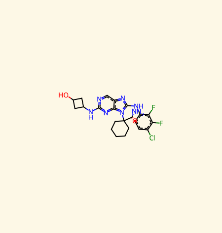 NC(=O)C1(n2c(Nc3ccc(Cl)c(F)c3F)nc3cnc(NC4CC(O)C4)nc32)CCCCC1